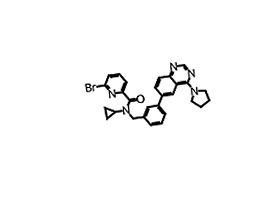 O=C(c1cccc(Br)n1)N(Cc1cccc(-c2ccc3ncnc(N4CCCC4)c3c2)c1)C1CC1